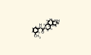 Cc1cccc(NC(=O)N2CCc3c(cnc4[nH]ncc34)C2)c1